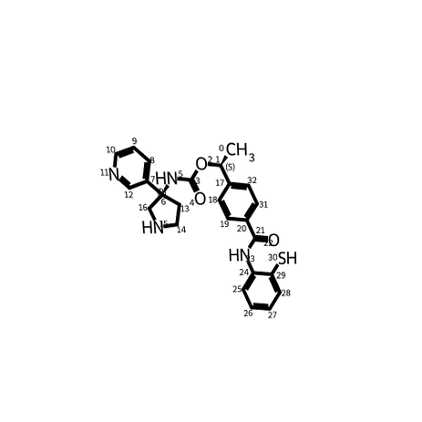 C[C@H](OC(=O)N[C@@]1(c2cccnc2)CCNC1)c1ccc(C(=O)Nc2ccccc2S)cc1